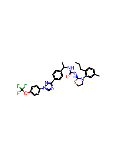 CCCc1ccc(C)cc1N1CCS/C1=N\C(=O)NC(C)c1ccc(-c2ncn(-c3ccc(OC(F)(F)F)cc3)n2)cc1